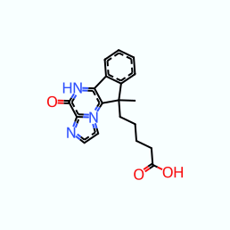 CC1(CCCCC(=O)O)c2ccccc2-c2[nH]c(=O)c3nccn3c21